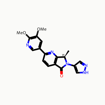 COc1cc(-c2ccc3c(n2)[C@@H](C)N(c2cn[nH]c2)C3=O)cnc1OC